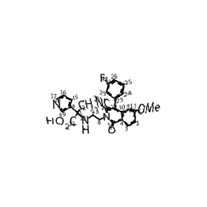 COc1ccc2c(=O)n(CCNC(C)(C(=O)O)c3cccnc3)c(C#N)c(-c3cccc(F)c3)c2c1